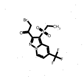 CCS(=O)(=O)c1c(C(=O)CBr)nn2ccc(C(F)(F)F)cc12